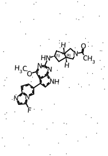 COc1nc(N[C@H]2C[C@@H]3CN(C(C)=O)C[C@@H]3C2)nc2[nH]cc(-c3ccc4ncc(F)n4c3)c12